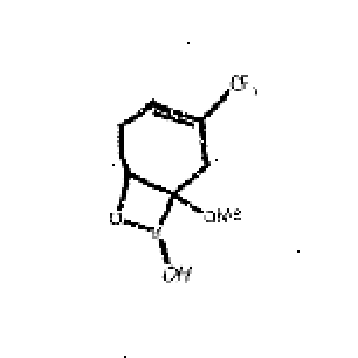 COC12CC(C(F)(F)F)=CCC1OB2O